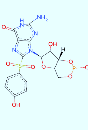 Nc1nc2c(nc(S(=O)(=O)c3ccc(O)cc3)n2[C@@H]2OC3COP(O)O[C@H]3C2O)c(=O)[nH]1